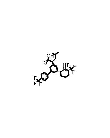 CC(C)C[C@H](C(=O)O)C1=CC([C@H]2CCC[C@@H](C(F)(F)F)N2)CC(c2ccc(C(F)(F)F)cc2)=C1